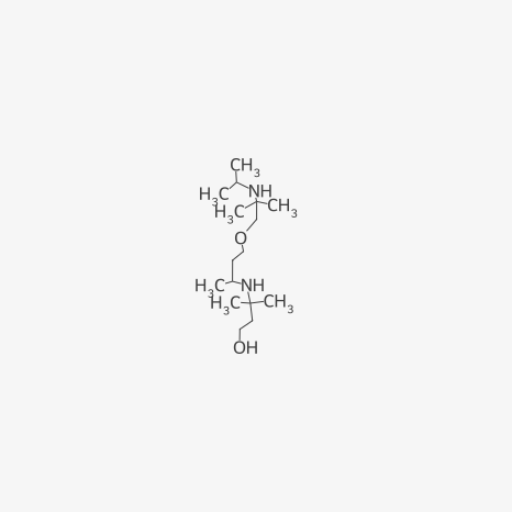 CC(C)NC(C)(C)COCCC(C)NC(C)(C)CCO